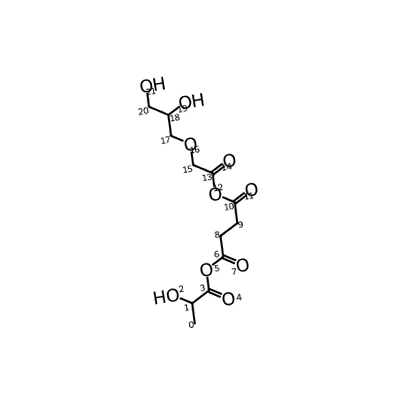 CC(O)C(=O)OC(=O)CCC(=O)OC(=O)COCC(O)CO